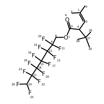 CC(C)=CC(C(=O)OCC(F)(F)C(F)(F)C(F)(F)C(F)(F)C(F)(F)C(F)F)C(C)(C)C